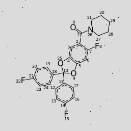 O=C(c1cc2c(cc1F)OC(c1ccc(F)cc1)(c1ccc(F)cc1)O2)N1CCCCC1